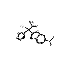 CC(C(N)=O)(c1cn2ccc(C(F)F)cc2n1)c1ccn[nH]1